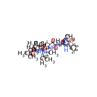 CCCC(NC(=O)C1(C)CC(C)(C)CN1C(=O)C(NC(=O)OC(C)(C)C)C(C)(C)C)C(=O)C(=O)NCC(=O)N[C@H](C(=O)N(C)C)c1ccccc1